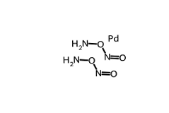 NON=O.NON=O.[Pd]